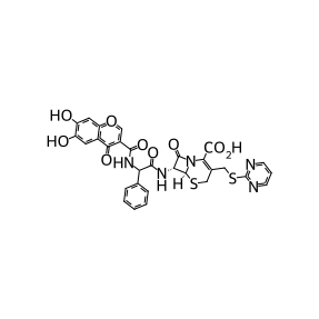 O=C(O)C1=C(CSc2ncccn2)CS[C@H]2[C@H](NC(=O)C(NC(=O)c3coc4cc(O)c(O)cc4c3=O)c3ccccc3)C(=O)N12